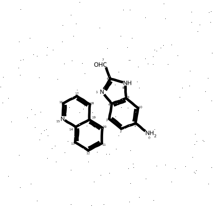 Nc1ccc2nc(C=O)[nH]c2c1.c1ccc2ncccc2c1